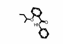 CCC(C)Oc1ccccc1C(=O)Nc1c[c]ccc1